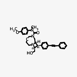 COc1ccc(N(C)C(=O)N2CCCCN3[C@H](CO)[C@H](c4ccc(C#Cc5ccccc5)cc4)[C@@H]3C2)cc1